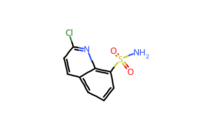 NS(=O)(=O)c1cccc2ccc(Cl)nc12